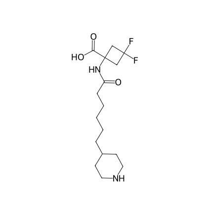 O=C(CCCCCC1CCNCC1)NC1(C(=O)O)CC(F)(F)C1